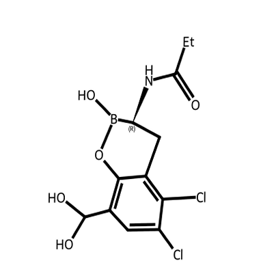 CCC(=O)N[C@H]1Cc2c(Cl)c(Cl)cc(C(O)O)c2OB1O